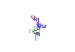 Cc1c(Cl)cc2[nH]nc(C)c2c1-c1c(F)cc2c(N3CC4CCC(C3)N4)nc(OCC3(CN4CCOCC4)CC3)nc2c1F